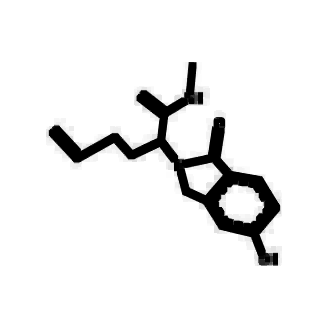 C=CCCC(C(=C)NC)N1Cc2cc(O)ccc2C1=O